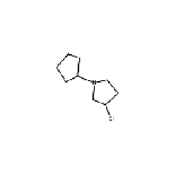 ClC1CCN(C2CCCC2)C1